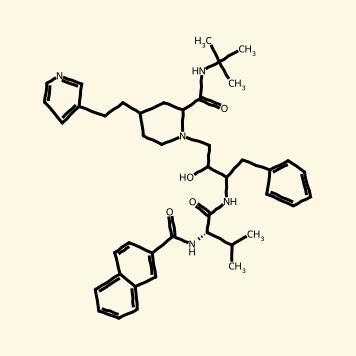 CC(C)[C@H](NC(=O)c1ccc2ccccc2c1)C(=O)NC(Cc1ccccc1)C(O)CN1CCC(CCc2cccnc2)CC1C(=O)NC(C)(C)C